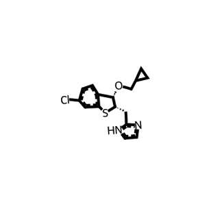 Clc1ccc2c(c1)S[C@@H](Cc1ncc[nH]1)[C@H]2OCC1CC1